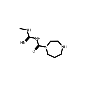 CNC(=N)NC(=O)N1CCCNCC1